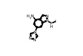 Nc1cc(-n2cnnc2)cc2c1cnn2PI